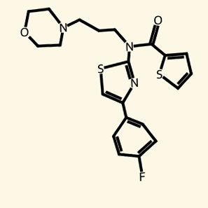 O=C(c1cccs1)N(CCCN1CCOCC1)c1nc(-c2ccc(F)cc2)cs1